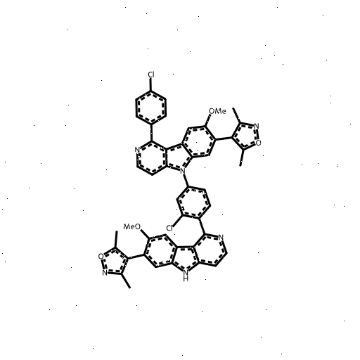 COc1cc2c(cc1-c1c(C)noc1C)[nH]c1ccnc(-c3ccc(-n4c5cc(-c6c(C)noc6C)c(OC)cc5c5c(-c6ccc(Cl)cc6)nccc54)cc3Cl)c12